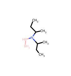 BBN(C(C)CC)C(C)CC